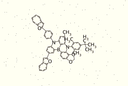 Cc1cc2c3c(c1)N(c1c(C)cc(C(C)(C)C)cc1C)c1c(ccc4c1OCO4)B3c1cc(-c3cc4ccccc4o3)ccc1N2c1ccc(-c2cc3ccccc3o2)cc1